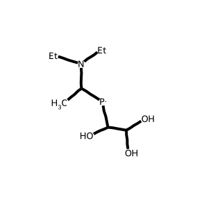 CCN(CC)C(C)[P]C(O)C(O)O